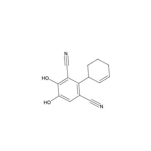 N#Cc1cc(O)c(O)c(C#N)c1C1C=CCCC1